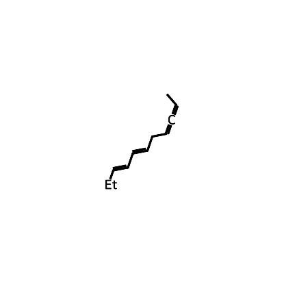 CC=C=CCC=CC=CCC